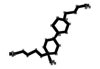 CCCCC[C@]1(C)CC[C@@H](C2CCC(CCCC)CC2)CC1